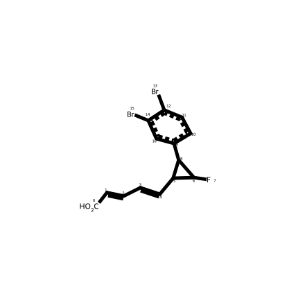 O=C(O)C=CC=CC1C(F)C1c1ccc(Br)c(Br)c1